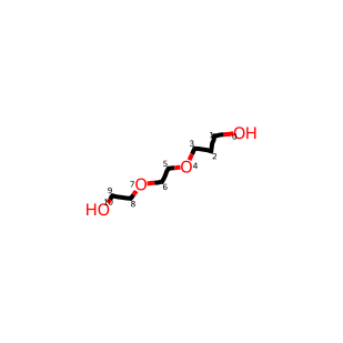 OCCCOCCOCCO